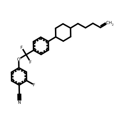 C=CCCCC1CCC(c2ccc(C(F)(F)Oc3ccc(C#N)c(F)c3)cc2)CC1